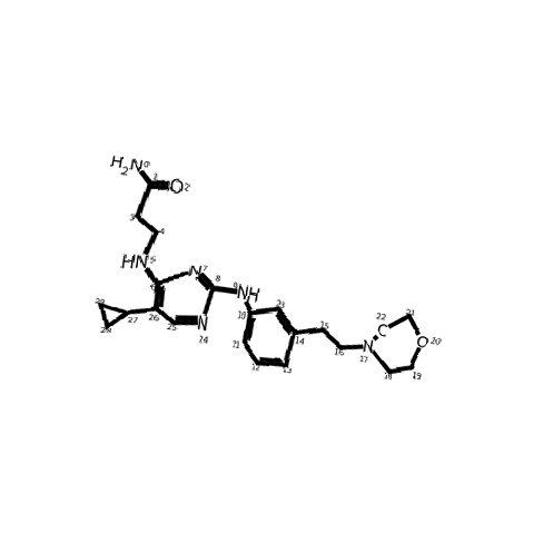 NC(=O)CCNc1nc(Nc2cccc(CCN3CCOCC3)c2)ncc1C1CC1